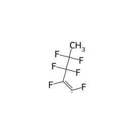 CC(F)(F)C(F)(F)/C(F)=[C]\F